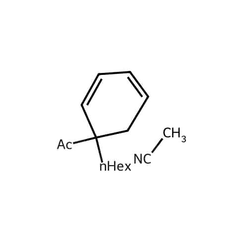 CC#N.CCCCCCC1(C(C)=O)C=CC=CC1